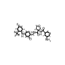 Nc1cncc(C(=O)N[C@@]2(C(=O)NCc3ncc(Nc4ccc(F)cc4C(F)(F)F)cc3Cl)CCOC2)c1